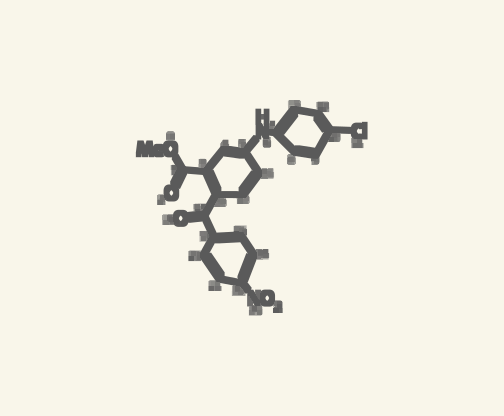 COC(=O)c1cc(Nc2ccc(Cl)cc2)ccc1C(=O)c1ccc([N+](=O)[O-])cc1